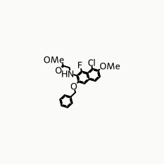 COC(=O)CNc1c(OCc2ccccc2)cc2ccc(OC)c(Cl)c2c1F